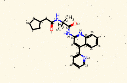 CC(C)(NC(=O)CC1CCCC1)C(=O)Nc1cc(-c2ccccn2)c2ccccc2n1